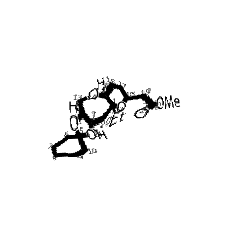 CC[C@@]12C[C@H]3OC4(CCCCC4)O[C@H]3CO[C@H]1CCC(CC(=O)OC)O2